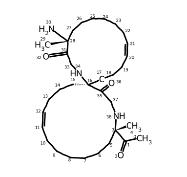 CC(=O)[C@]1(C)CCCCCC/C=C\CCC[C@]2(CCC/C=C\CCCCCC[C@@](C)(N)C(=O)CN2)C(=O)CN1